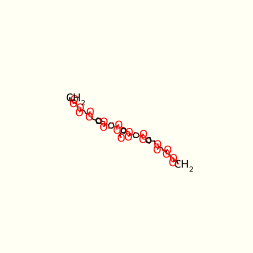 C=CC(=O)OCCOC(=O)CCC(=O)OCCc1ccc(OC(=O)[C@H]2CC[C@H](C(=O)Oc3ccc(OC(=O)[C@H]4CC[C@H](C(=O)Oc5ccc(CCOC(=O)CCC(=O)OCCOC(=O)C=C)cc5)CC4)c(C=O)c3)CC2)cc1